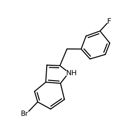 Fc1cccc(Cc2cc3cc(Br)ccc3[nH]2)c1